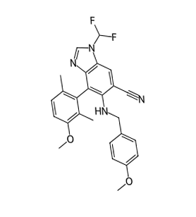 COc1ccc(CNc2c(C#N)cc3c(ncn3C(F)F)c2-c2c(C)ccc(OC)c2C)cc1